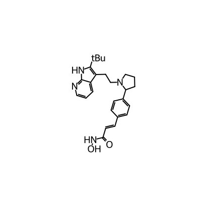 CC(C)(C)c1[nH]c2ncccc2c1CCN1CCCC1c1ccc(C=CC(=O)NO)cc1